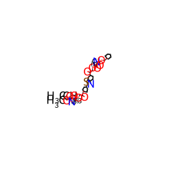 CC(C)(C)OC(=O)N1CCC[C@@H]1C(=O)OCC(=O)c1ccc(-c2nc3ccc(C(=O)COC(=O)[C@@H]4CCCN4C(=O)OCc4ccccc4)cc3s2)cc1